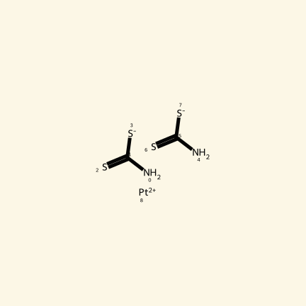 NC(=S)[S-].NC(=S)[S-].[Pt+2]